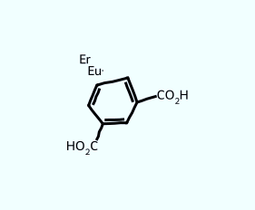 O=C(O)c1cccc(C(=O)O)c1.[Er].[Eu]